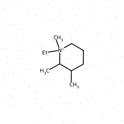 CC[N+]1(C)CCCC(C)C1C